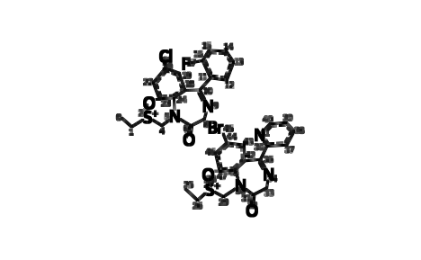 CC[S+]([O-])CN1C(=O)CN=C(c2ccccc2F)c2cc(Cl)ccc21.CC[S+]([O-])CN1C(=O)CN=C(c2ccccn2)c2cc(Br)ccc21